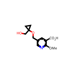 COc1ncc(COC2(CO)CC2)cc1C(=O)O